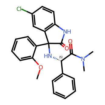 COc1ccccc1C1(N[C@H](C(=O)N(C)C)c2ccccc2)C(=O)Nc2ccc(Cl)cc21